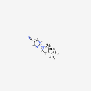 CC(C)C1CCN(c2ncc(C#N)cn2)CC1(C)C